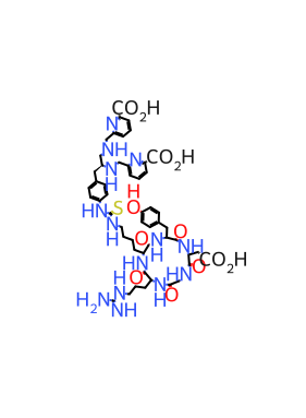 N=C(N)NCCCC1NC(=O)CNC(=O)C(CC(=O)O)NC(=O)C(Cc2ccc(O)cc2)NC(=O)C(CCCCNC(=S)Nc2ccc(C[C@@H](CNCc3cccc(C(=O)O)n3)NCc3cccc(C(=O)O)n3)cc2)NC1=O